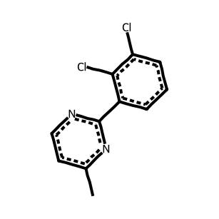 Cc1ccnc(-c2cccc(Cl)c2Cl)n1